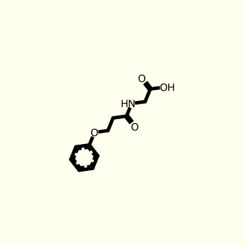 O=C(O)CNC(=O)CCOc1ccccc1